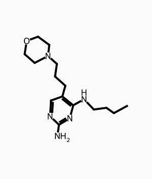 CCCCNc1nc(N)ncc1CCCN1CCOCC1